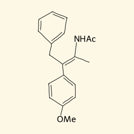 COc1ccc(/C(Cc2ccccc2)=C(\C)NC(C)=O)cc1